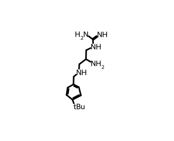 CC(C)(C)c1ccc(CNCC(N)CNC(=N)N)cc1